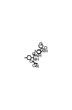 CC1CCC([C@H](NC(=O)c2cnco2)C(=O)Nc2cc3c(cn2)C2(CCOCC2)C(=O)N3)CC1